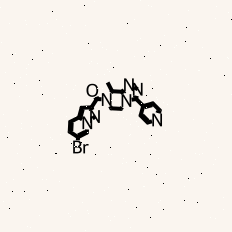 CC1c2nnc(-c3ccncc3)n2CCN1C(=O)c1cc2ccc(Br)cn2n1